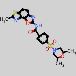 Cc1nc2c(ccc3nc(NC(=O)c4ccc(S(=O)(=O)N5CC(C)OC(C)C5)cc4)oc32)s1